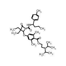 CCCC(NC(=O)N1C(=O)C(CC)(CC)C1Oc1cc(C)c(C(=O)OCCN(C(C)C)C(C)C)c(C)c1)c1ccc(C)cc1